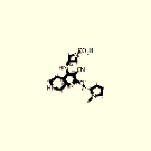 CN1CCC[C@H]1COc1nc2c(c(NC3CN(C(=O)O)C3)c1C#N)CCNC2